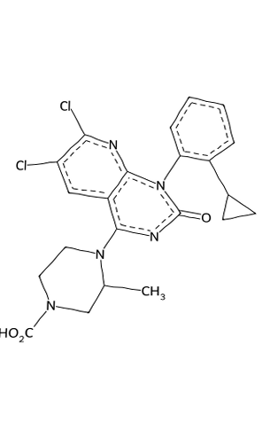 CC1CN(C(=O)O)CCN1c1nc(=O)n(-c2ccccc2C2CC2)c2nc(Cl)c(Cl)cc12